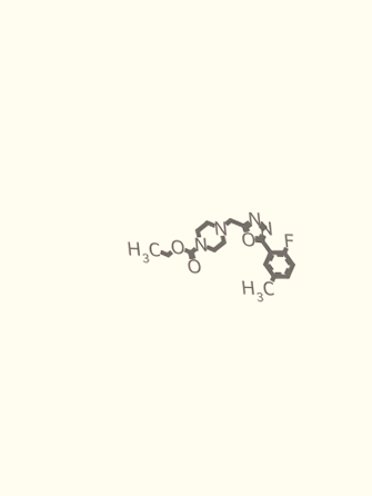 CCOC(=O)N1CCN(Cc2nnc(-c3cc(C)ccc3F)o2)CC1